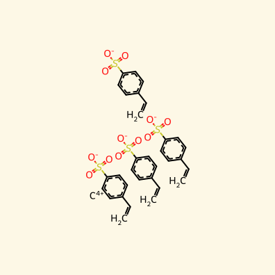 C=Cc1ccc(S(=O)(=O)[O-])cc1.C=Cc1ccc(S(=O)(=O)[O-])cc1.C=Cc1ccc(S(=O)(=O)[O-])cc1.C=Cc1ccc(S(=O)(=O)[O-])cc1.[C+4]